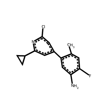 Cc1cc(F)c(N)cc1-c1cc(Cl)nc(C2CC2)c1